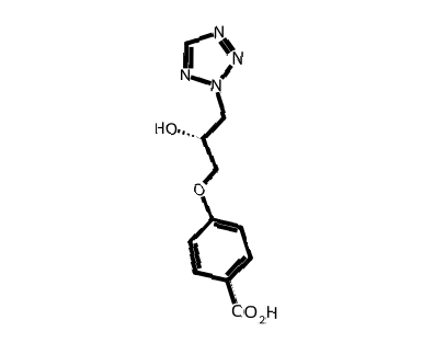 O=C(O)c1ccc(OC[C@H](O)Cn2ncnn2)cc1